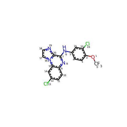 FC(F)(F)Oc1ccc(Nc2nc3ccc(Cl)cc3n3ccnc23)cc1Cl